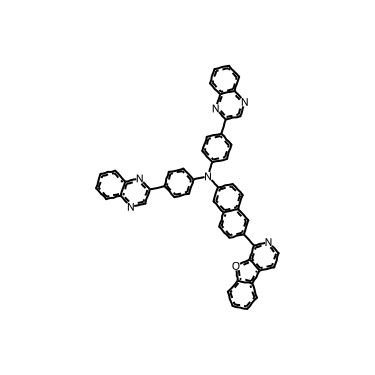 c1ccc2nc(-c3ccc(N(c4ccc(-c5cnc6ccccc6n5)cc4)c4ccc5cc(-c6nccc7c6oc6ccccc67)ccc5c4)cc3)cnc2c1